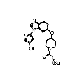 CC(C)(C)OC(=O)N1CCC(Oc2ccc3ncn(-c4cc(O)cs4)c3c2)CC1